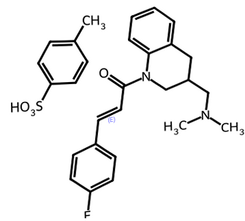 CN(C)CC1Cc2ccccc2N(C(=O)/C=C/c2ccc(F)cc2)C1.Cc1ccc(S(=O)(=O)O)cc1